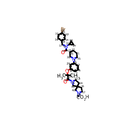 CC(C)(Oc1cccc(N2CCC[C@@H](C(=O)N(Cc3ccc(Br)cc3)C3CC3)C2)c1)C(=O)N1CCC2(CCN(C(=O)O)C2)C1